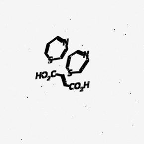 C1=CSC=CN=C1.C1=CSC=CN=C1.O=C(O)/C=C/C(=O)O